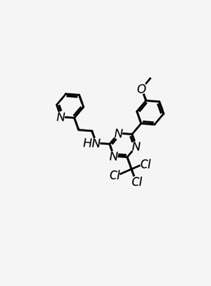 COc1cccc(-c2nc(NCCc3ccccn3)nc(C(Cl)(Cl)Cl)n2)c1